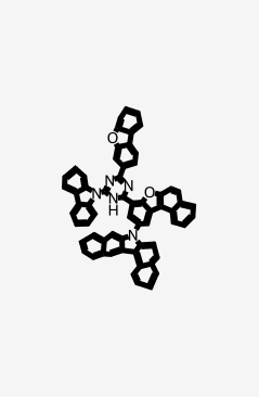 c1ccc2cc3c(cc2c1)c1c2ccccc2ccc1n3-c1cc(C2N=C(c3ccc4c(c3)oc3ccccc34)N=C(n3c4ccccc4c4ccccc43)N2)c2oc3ccc4ccccc4c3c2c1